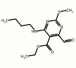 CCCCNc1nc(SC)nc(C=O)c1C(=O)OCC